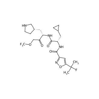 CC(C)(F)c1cc(C(=O)N[C@@H](CC2CC2)C(=O)N[C@@H](C[C@@H]2CCNC2)C(=O)COC(F)(F)F)no1